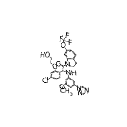 COc1cc(NC(C(=O)N2CCc3ccc(OC(F)(F)F)cc32)c2ccc(Cl)cc2OCCO)cc(-n2cncn2)c1